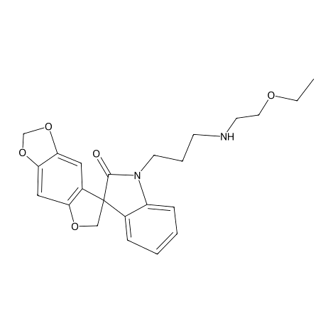 CCOCCNCCCN1C(=O)C2(COc3cc4c(cc32)OCO4)c2ccccc21